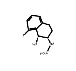 O=C(O)N[C@@H]1CCc2cccc(F)c2[C@@H]1O